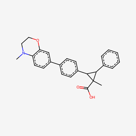 CN1CCOc2cc(-c3ccc(C4C(c5ccccc5)C4(C)C(=O)O)cc3)ccc21